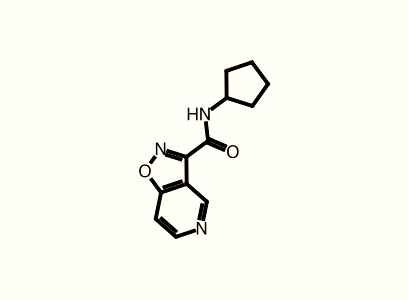 O=C(NC1CCCC1)c1noc2ccncc12